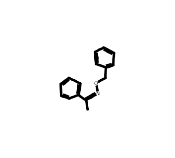 CC(=NOCc1ccccc1)c1ccccc1